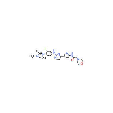 CN1C[C@@H]2C[C@H]1CN2c1ccc(Nc2nccc(-c3ccc(NC(=O)CN4CCOCC4)nc3)n2)cc1F